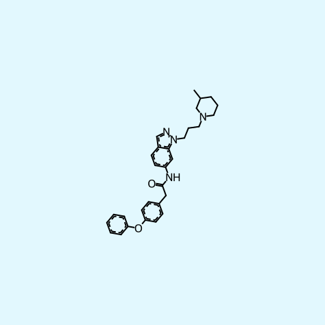 CC1CCCN(CCCn2ncc3ccc(NC(=O)Cc4ccc(Oc5ccccc5)cc4)cc32)C1